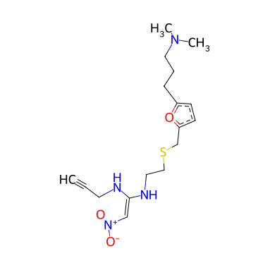 C#CCNC(=C[N+](=O)[O-])NCCSCc1ccc(CCCN(C)C)o1